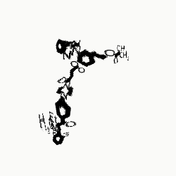 C=C(C)C(=O)OCCc1ccc(OC(=O)CCC(=O)N2CCN(c3ccc(C(=O)C(CC)(Cc4ccccc4)N(C)C)cc3)CC2)c(-n2nc3ccccc3n2)c1